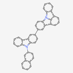 c1ccc2cc(-n3c4ccccc4c4cc(-c5ccc6c(c5)c5cccc7c8ccccc8n6c75)ccc43)ccc2c1